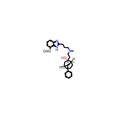 COc1cccc2nc(CCCN(C)CC[C@]3(O)C[C@H]4CCC[C@@H]3C=C4c3ccccc3)[nH]c12